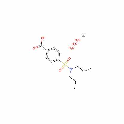 CCCN(CCC)S(=O)(=O)c1ccc(C(=O)O)cc1.O.O.O.[Eu]